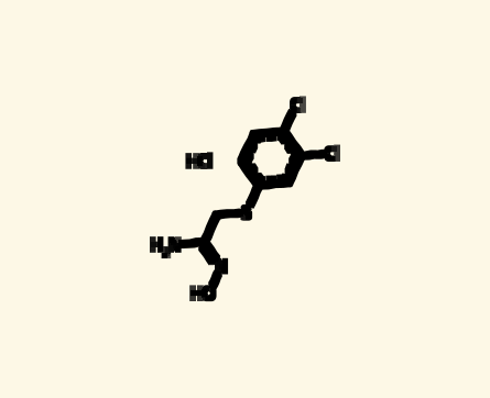 Cl.NC(CSc1ccc(Cl)c(Cl)c1)=NO